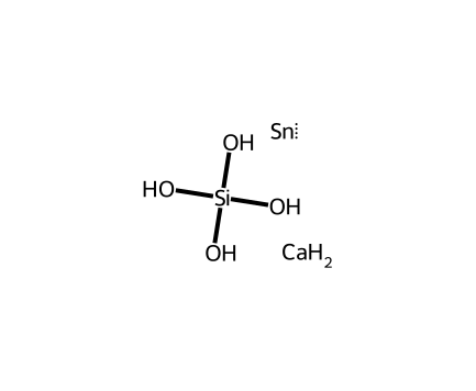 O[Si](O)(O)O.[CaH2].[Sn]